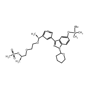 C[C@H](COCCO[C@@H](C)c1cncc(-c2nn(C3CCCCO3)c3ccc(O[Si](C)(C)C(C)(C)C)cc23)c1)OS(C)(=O)=O